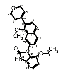 CCOc1ccnc2[nH]c(=O)n(-c3ccc4ncc(C5=CCOCC5)c(OC)c4c3)c12